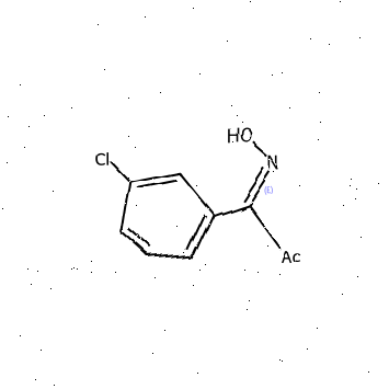 CC(=O)/C(=N/O)c1cccc(Cl)c1